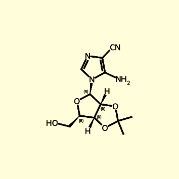 CC1(C)O[C@@H]2[C@H](O1)[C@@H](CO)O[C@H]2n1cnc(C#N)c1N